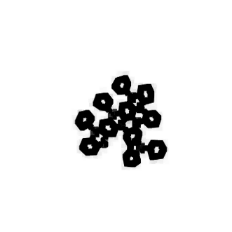 c1ccc(N2c3ccccc3Sc3cc4c(cc32)N(c2ccccc2)c2cc3c5c6c2B4c2cc4c7ccccc7n(-c7ccccc7)c4cc2N6c2ccccc2B5c2ccccc2N3c2ccccc2)cc1